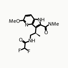 CNC(=O)c1[nH]c2ccc(OC)nc2c1[C@@H](C)CNC(=O)C(F)F